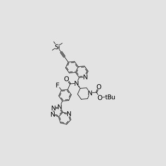 CC(C)(C)OC(=O)N1CCC[C@@H](N(C(=O)c2ccc(-n3nnc4cccnc43)cc2F)c2nccc3cc(C#C[Si](C)(C)C)ccc23)C1